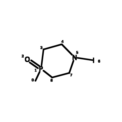 CP1(=O)CCN(I)CC1